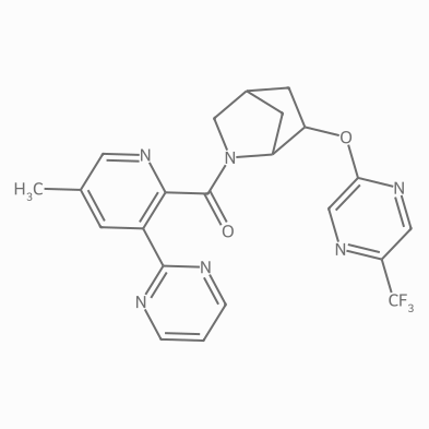 Cc1cnc(C(=O)N2CC3CC(Oc4cnc(C(F)(F)F)cn4)C2C3)c(-c2ncccn2)c1